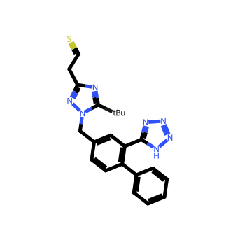 CC(C)(C)c1nc(CC=S)nn1Cc1ccc(-c2ccccc2)c(-c2nnn[nH]2)c1